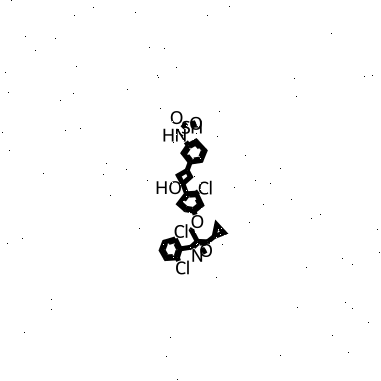 O=[SH](=O)Nc1cccc(C2CC(O)(c3ccc(OCc4c(-c5c(Cl)cccc5Cl)noc4C4CC4)cc3Cl)C2)c1